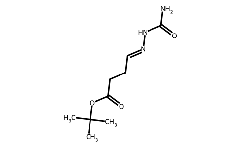 CC(C)(C)OC(=O)CCC=NNC(N)=O